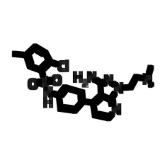 Cc1ccc(Cl)c(S(=O)(=O)Nc2ccc(-c3ccnc4c3c(N)nn4CCN(C)C)cc2)c1